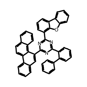 c1ccc(-c2ccccc2-c2nc(-c3cccc4c3oc3ccccc34)nc(-c3cc4ccccc4c4ccc5ccccc5c34)n2)cc1